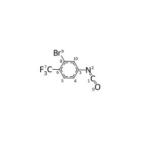 O=C=Nc1ccc(C(F)(F)F)c(Br)c1